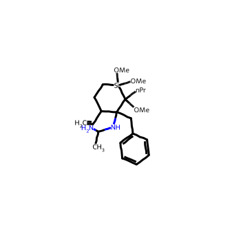 C=CC1CC[Si](OC)(OC)C(CCC)(OC)C1(Cc1ccccc1)NC(C)N